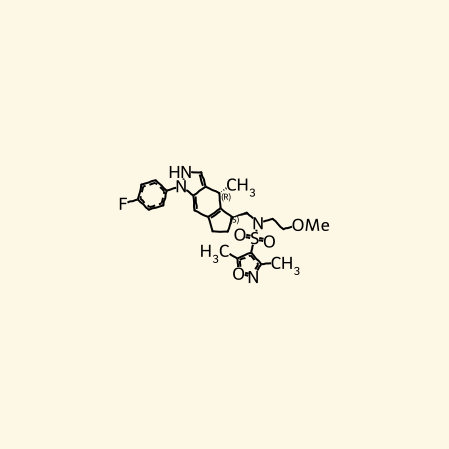 COCCN(C[C@H]1CCC2=C1[C@@H](C)C1=CNN(c3ccc(F)cc3)C1=C2)S(=O)(=O)c1c(C)noc1C